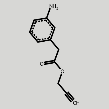 C#CCOC(=O)Cc1cccc(N)c1